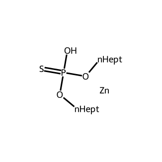 CCCCCCCOP(O)(=S)OCCCCCCC.[Zn]